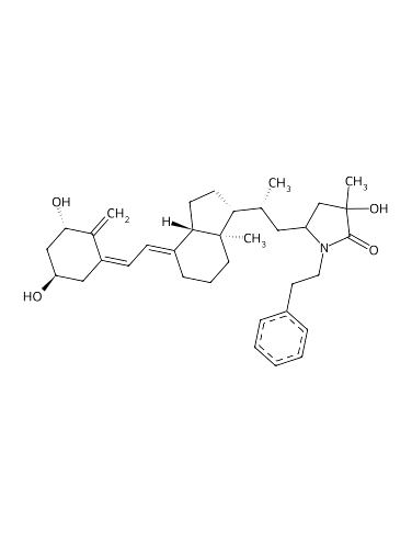 C=C1/C(=C\C=C2/CCC[C@]3(C)[C@@H]([C@H](C)CC4CC(C)(O)C(=O)N4CCc4ccccc4)CC[C@@H]23)C[C@@H](O)C[C@@H]1O